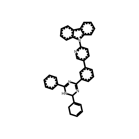 C1=CCCC(C2N=C(c3cccc(-c4ccc(-n5c6ccccc6c6ccccc65)nc4)c3)N=C(c3ccccc3)N2)=C1